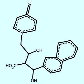 O=C(O)C(C(O)Cn1ccc(=O)cc1)C(O)c1ccc2ccccc2c1